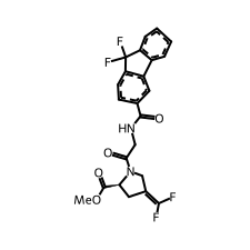 COC(=O)[C@@H]1CC(=C(F)F)CN1C(=O)CNC(=O)c1ccc2c(c1)-c1ccccc1C2(F)F